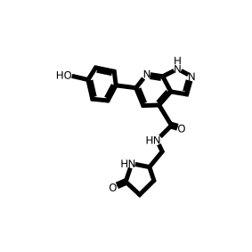 O=C1CCC(CNC(=O)c2cc(-c3ccc(O)cc3)nc3[nH]ncc23)N1